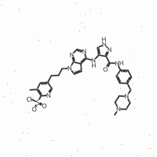 Cc1cc(CCCn2ccc3c(Nc4c[nH]nc4C(=O)Nc4ccc(CN5CCN(C)CC5)cc4)ncnc32)cnc1S(=O)(=O)Cl